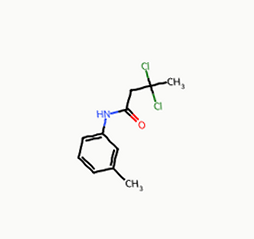 Cc1cccc(NC(=O)CC(C)(Cl)Cl)c1